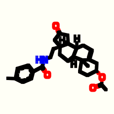 CC(=O)O[C@H]1CC[C@@]2(C)C(=CC[C@H]3[C@@H]4CC(=O)C[C@@]4(CCNC(=O)c4ccc(C)cc4)CC[C@@H]32)C1